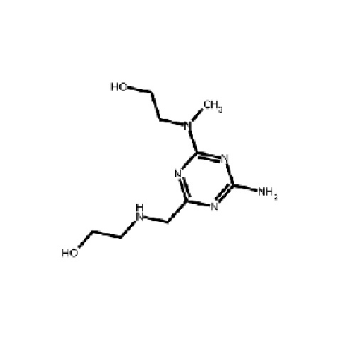 CN(CCO)c1nc(N)nc(CNCCO)n1